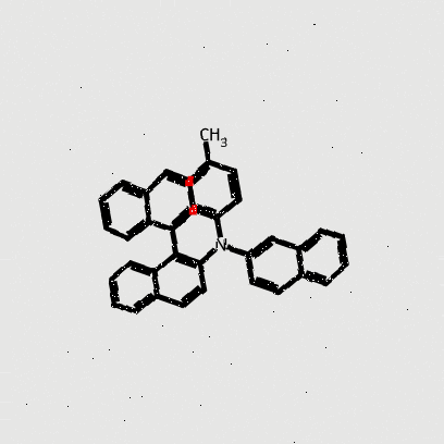 Cc1ccc(N(c2ccc3ccccc3c2)c2ccc3ccccc3c2-c2cccc3ccccc23)cc1